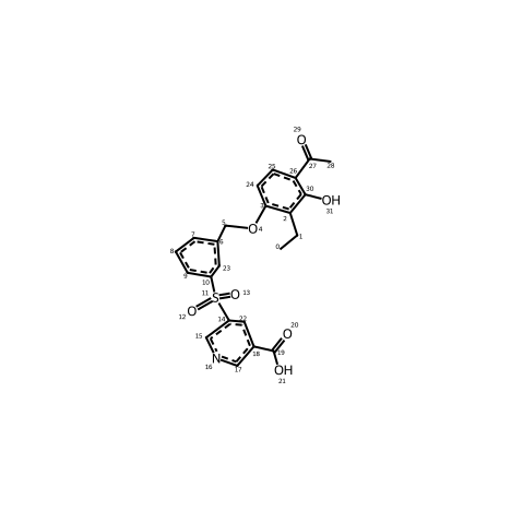 CCc1c(OCc2cccc(S(=O)(=O)c3cncc(C(=O)O)c3)c2)ccc(C(C)=O)c1O